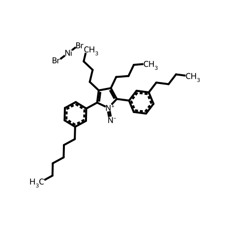 CCCCCCc1cccc(C2=C(CCCC)C(CCCC)=C(c3cccc(CCCC)c3)[N+]2=[N-])c1.[Br][Ni][Br]